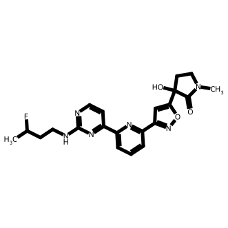 CC(F)CCNc1nccc(-c2cccc(-c3cc(C4(O)CCN(C)C4=O)on3)n2)n1